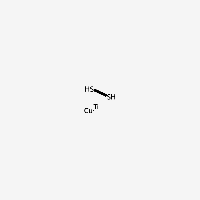 SS.[Cu].[Ti]